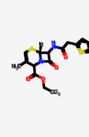 CC1=CS[C@@H]2C(NC(=O)Cc3cccs3)C(=O)N2C1C(=O)OCC(Cl)(Cl)Cl